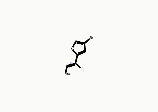 CC(C)(C)/C=C(\Cl)c1cc(Br)cs1